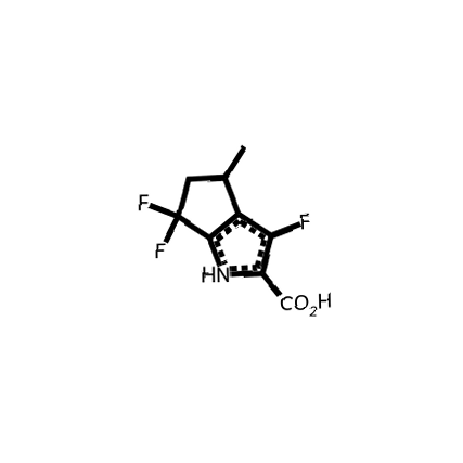 CC1CC(F)(F)c2[nH]c(C(=O)O)c(F)c21